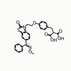 CO/N=C(\c1ccccc1)c1ccc2c(c1)sc(=O)n2CCOc1ccc(CC(C(=O)O)C(=O)O)cc1